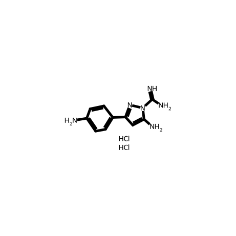 Cl.Cl.N=C(N)n1nc(-c2ccc(N)cc2)cc1N